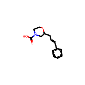 O=C(O)N1CCOC(CC=Cc2ccccc2)C1